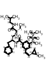 CC[C@H](NC[C@H](Cc1ccccc1)NC(=O)c1cc(/C=C\[C@H]2C[C@@H]2C)cc(N(C)S(=O)(=O)N(C)C)c1)C(=O)NCC(C)C